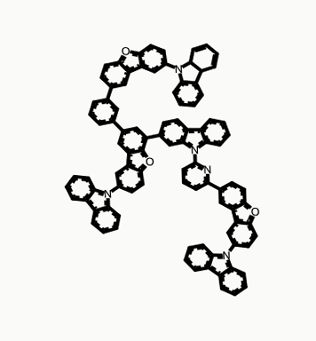 C1=CC2c3ccccc3N(c3ccc4oc5ccc(-c6cccc(-c7cc(-c8ccc9c%10ccccc%10n(-c%10cccc(-c%11ccc%12oc%13ccc(-n%14c%15ccccc%15c%15ccccc%15%14)cc%13c%12c%11)n%10)c9c8)c8oc9ccc(-n%10c%11ccccc%11c%11ccccc%11%10)cc9c8c7)c6)cc5c4c3)C2C=C1